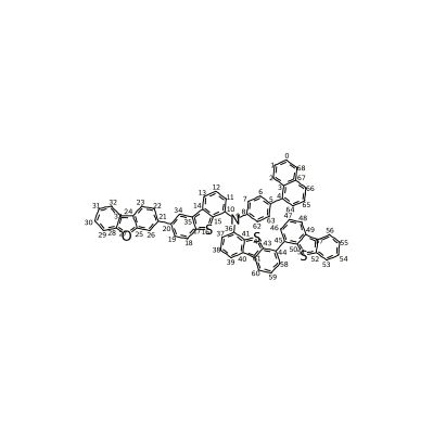 c1ccc2c(-c3ccc(N(c4cccc5c4sc4ccc(-c6ccc7c(c6)oc6ccccc67)cc45)c4cccc5c4sc4c(-c6cccc7c6sc6ccccc67)cccc45)cc3)cccc2c1